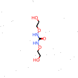 O=C(NOCCO)NOCCO